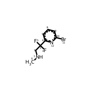 CNCC(F)(F)c1cccc(Br)n1